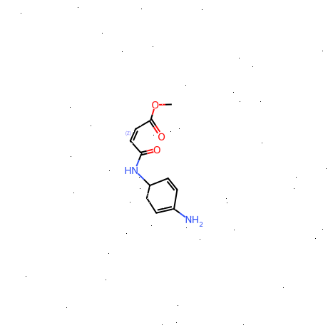 COC(=O)/C=C\C(=O)NC1C=CC(N)=CC1